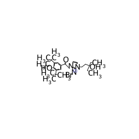 CCC(O)(CC)CCn1ccn(CC(=O)c2cc(C(C)(C)C)c(O)c(C(C)(C)C)c2)/c1=N\Br